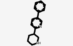 c1ccc(-c2ccc(C3CCCNC3)nc2)cc1